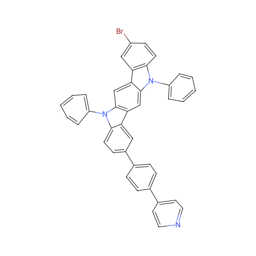 Brc1ccc2c(c1)c1cc3c(cc1n2-c1ccccc1)c1cc(-c2ccc(-c4ccncc4)cc2)ccc1n3-c1ccccc1